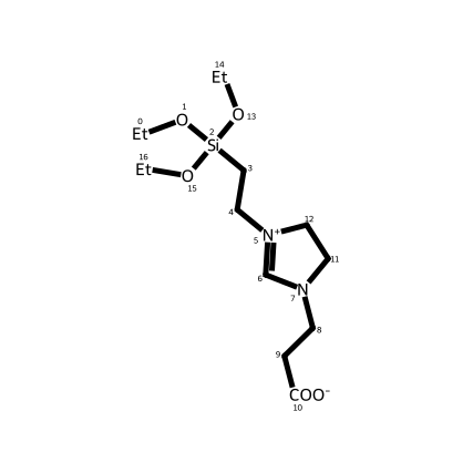 CCO[Si](CC[N+]1=CN(CCC(=O)[O-])CC1)(OCC)OCC